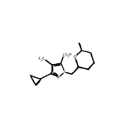 CC1CCCC(Cn2nc(C3CC3)c(C(F)(F)F)c2C(=O)O)O1